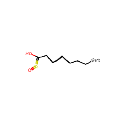 CCCCCCCCCCCC(O)=S=O